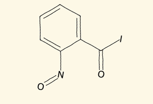 O=Nc1ccccc1C(=O)I